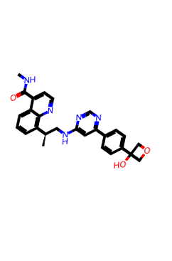 CNC(=O)c1ccnc2c([C@H](C)CNc3cc(-c4ccc(C5(O)COC5)cc4)ncn3)cccc12